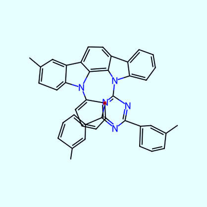 Cc1cccc(-c2nc(-c3cccc(C)c3)nc(-n3c4ccccc4c4ccc5c6cc(C)ccc6n(-c6ccccc6)c5c43)n2)c1